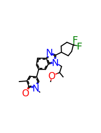 COC(C)Cn1c(C2CCC(F)(F)CC2)nc2ccc(-c3cc(C)c(=O)n(C)c3)cc21